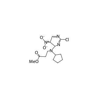 COC(=O)CCN(C1CCCC1)C1N=C(Cl)N=CC1=[N+]([O-])[O-]